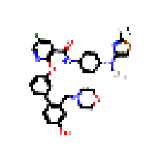 Cc1nc(N(C)[C@H]2CC[C@H](NC(=O)c3cc(F)cnc3Oc3cccc(-c4ccc(O)cc4CN4CCOCC4)c3)CC2)cs1